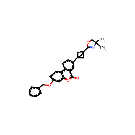 CC1(C)COC(C23CC(c4ccc5c(c4)c(=O)oc4cc(OCc6ccccc6)ccc45)(C2)C3)=N1